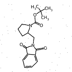 CC(C)(C)OC(=O)N1CCCC1CN1C(=O)c2ccccc2C1=O